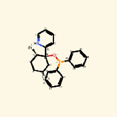 CC1CC[C@@H](C(C)C)[C@](OP(c2ccccc2)c2ccccc2)(c2ccccn2)C1